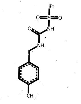 Cc1ccc(CNC(=O)NS(=O)(=O)C(C)C)cc1